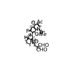 COc1c(N2C[C@@H]3CCCN(C(=O)CC(C=O)C=O)[C@@H]3C2)c(F)cc2c(=O)c(C(C)=O)cn(C3CC3)c12